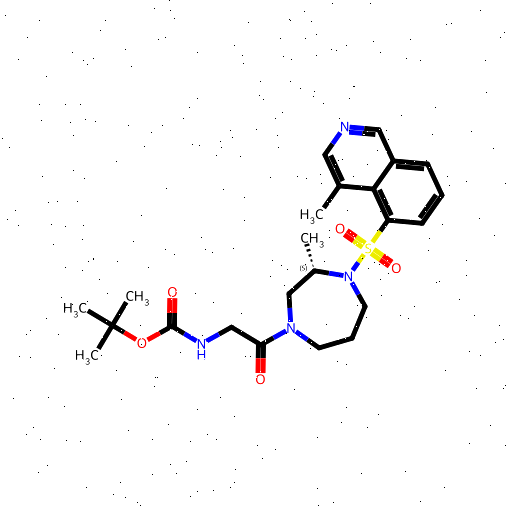 Cc1cncc2cccc(S(=O)(=O)N3CCCN(C(=O)CNC(=O)OC(C)(C)C)C[C@@H]3C)c12